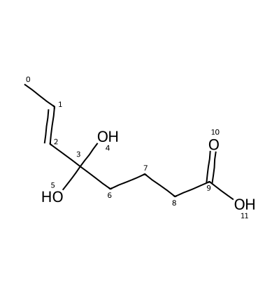 CC=CC(O)(O)CCCC(=O)O